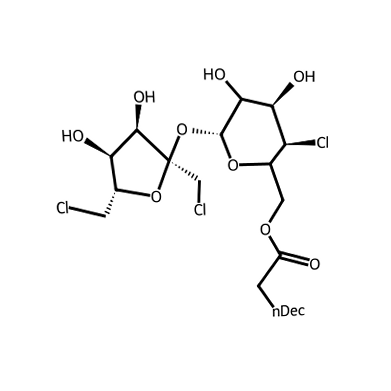 CCCCCCCCCCCC(=O)OCC1O[C@H](O[C@@]2(CCl)O[C@H](CCl)[C@@H](O)[C@H]2O)C(O)[C@@H](O)[C@H]1Cl